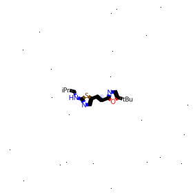 CC(C)CNc1ncc(/C=C/c2ncc(C(C)(C)C)o2)s1